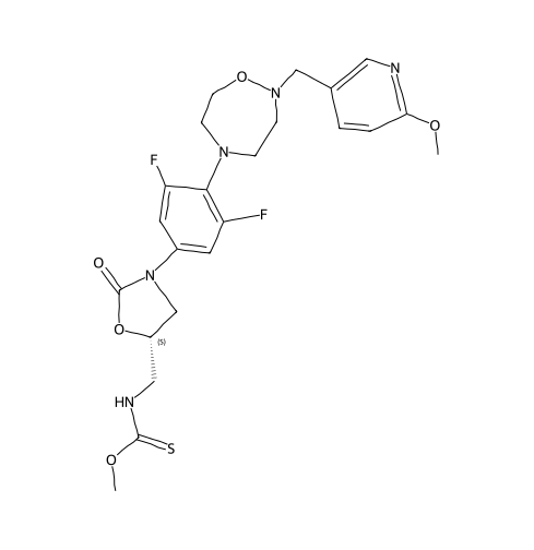 COC(=S)NC[C@H]1CN(c2cc(F)c(N3CCON(Cc4ccc(OC)nc4)CC3)c(F)c2)C(=O)O1